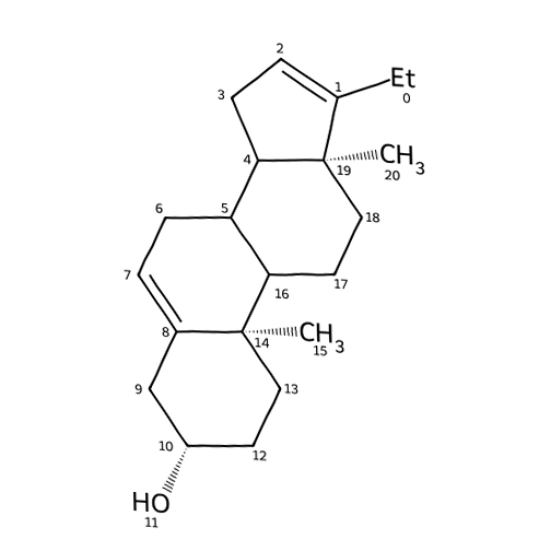 CCC1=CCC2C3CC=C4C[C@@H](O)CC[C@]4(C)C3CC[C@]12C